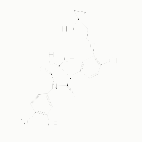 CC1(C)C(=O)N(c2ccc(C#N)c(C(F)(F)F)c2)C(=S)N1c1ccc(O)c(OCCC2(O)CC2)c1